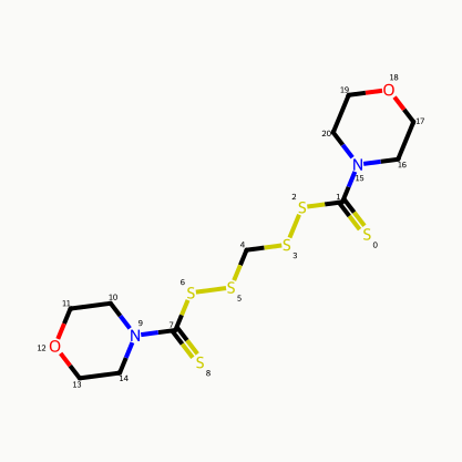 S=C(SSCSSC(=S)N1CCOCC1)N1CCOCC1